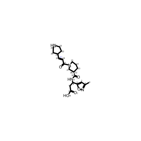 Cc1cc(C(CC(=O)O)NC(=O)[C@@H]2CCCN(C(=O)/C=C/C3CCNCC3)C2)on1